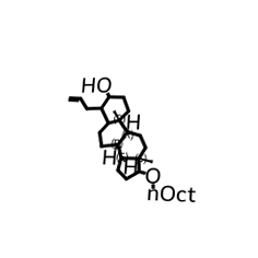 C=CCC1C(O)CC[C@@]2(C)C1CC[C@@H]1[C@H]2CC[C@]2(C)C(OCCCCCCCC)CC[C@@H]12